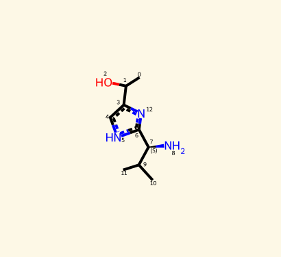 CC(O)c1c[nH]c([C@@H](N)C(C)C)n1